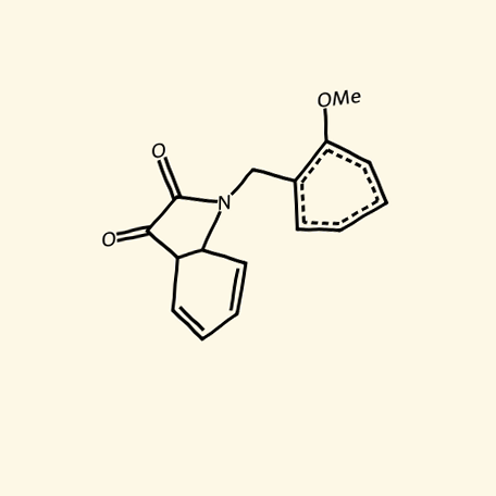 COc1ccccc1CN1C(=O)C(=O)C2C=CC=CC21